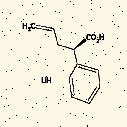 C=CC[C@@H](C(=O)O)c1ccccc1.[LiH]